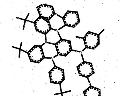 Cc1ccc(N(c2ccc(-c3ccccc3)cc2)c2cc3c4c(c2)N(c2ccccc2-c2ccccc2)c2ccc(C(C)(C)C)cc2B4c2cc(C(C)(C)C)ccc2N3c2ccc(C(C)(C)C)cc2)c(C)c1